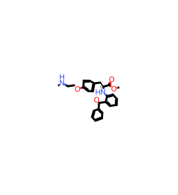 CNCCOc1ccc(C[C@H](Nc2ccccc2C(=O)c2ccccc2)C(=O)OC)cc1